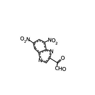 O=CC(=O)c1cnc2cc([N+](=O)[O-])cc([N+](=O)[O-])c2n1